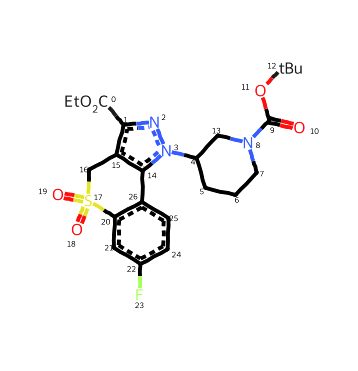 CCOC(=O)c1nn(C2CCCN(C(=O)OC(C)(C)C)C2)c2c1CS(=O)(=O)c1cc(F)ccc1-2